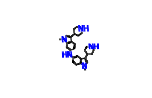 Cn1cc(C2CCNCC2)c2cc(Nc3ccc4c(C5CCNCC5)cn(C)c4c3)ccc21